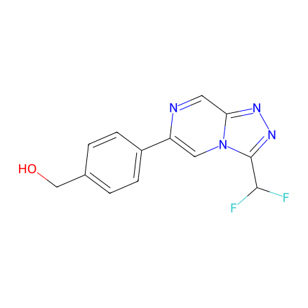 OCc1ccc(-c2cn3c(C(F)F)nnc3cn2)cc1